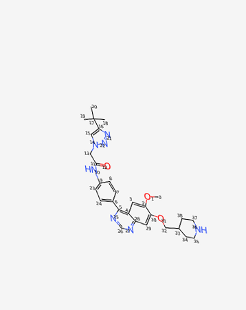 COc1cc2c(-c3ccc(NC(=O)Cn4cc(C(C)(C)C)nn4)cc3)ncnc2cc1OCC1CCNCC1